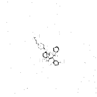 COCCN1CCC(Oc2ccc3c(n2)/C(=C(/c2cccc(Cl)c2)c2nc4ccccc4[nH]2)C(=O)N3)CC1